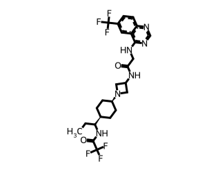 CCC(NC(=O)C(F)(F)F)[C@H]1CC[C@@H](N2CC(NC(=O)CNc3ncnc4ccc(C(F)(F)F)cc34)C2)CC1